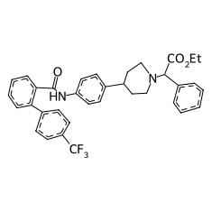 CCOC(=O)C(c1ccccc1)N1CCC(c2ccc(NC(=O)c3ccccc3-c3ccc(C(F)(F)F)cc3)cc2)CC1